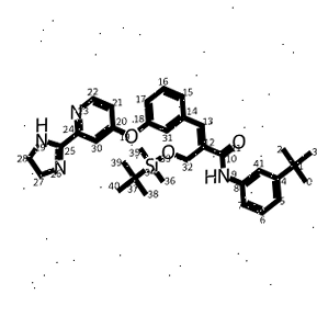 CC(C)(C)c1cccc(NC(=O)C(=Cc2cccc(Oc3ccnc(C4=NCCN4)c3)c2)CO[Si](C)(C)C(C)(C)C)c1